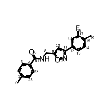 Cc1ccc(C(=O)NCc2cc(-c3ccc(C)c(F)c3)no2)cc1